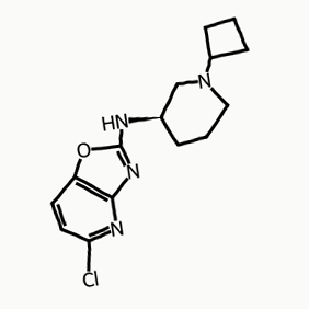 Clc1ccc2oc(N[C@@H]3CCCN(C4CCC4)C3)nc2n1